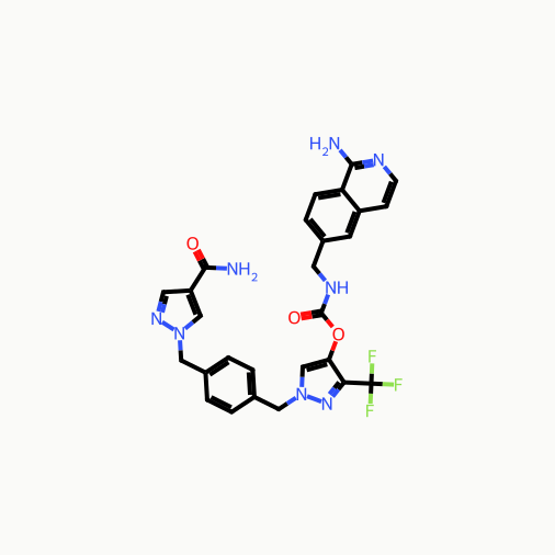 NC(=O)c1cnn(Cc2ccc(Cn3cc(OC(=O)NCc4ccc5c(N)nccc5c4)c(C(F)(F)F)n3)cc2)c1